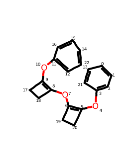 c1ccc(OC2=C(OC3=C(Oc4ccccc4)CC3)CC2)cc1